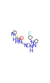 O=C(NCCN1CCC(Nc2nc3ccccc3n2Cc2ccc(F)cc2)CC1)NSCc1ccccn1